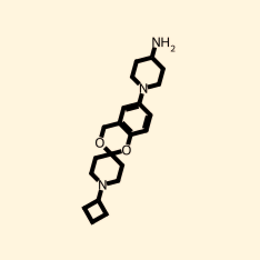 NC1CCN(c2ccc3c(c2)COC2(CCN(C4CCC4)CC2)O3)CC1